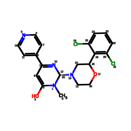 CN1C(O)=CC(c2ccncc2)=N[C@@H]1N1CCOC(c2c(Cl)cccc2Cl)C1